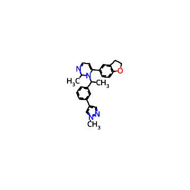 CC1N=CC=C(c2ccc3c(c2)CCO3)N1C(C)c1cccc(-c2cnn(C)c2)c1